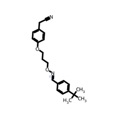 CC(C)(C)c1ccc(/C=N/OCCCOc2ccc(CC#N)cc2)cc1